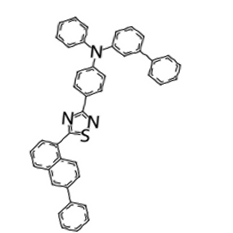 c1ccc(-c2cccc(N(c3ccccc3)c3ccc(-c4nsc(-c5cccc6cc(-c7ccccc7)ccc56)n4)cc3)c2)cc1